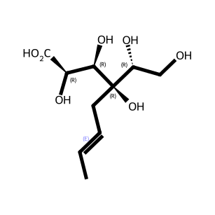 C/C=C/C[C@@](O)([C@H](O)CO)[C@H](O)[C@@H](O)C(=O)O